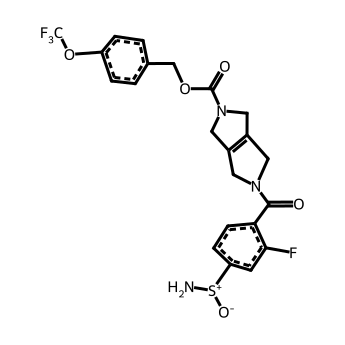 N[S+]([O-])c1ccc(C(=O)N2CC3=C(CN(C(=O)OCc4ccc(OC(F)(F)F)cc4)C3)C2)c(F)c1